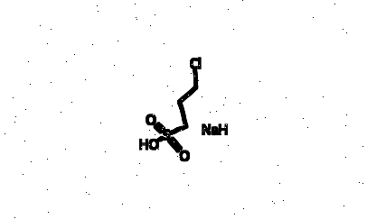 O=S(=O)(O)CCCCl.[NaH]